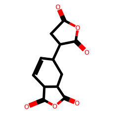 O=C1CC(C2C=CC3C(=O)OC(=O)C3C2)C(=O)O1